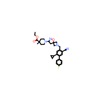 CCOC(=O)C1(C)CCN(C2=NOC3(C2)CN(Cc2cc(C4CC4)c(-c4ccc(F)cc4)cc2C#N)C3)CC1